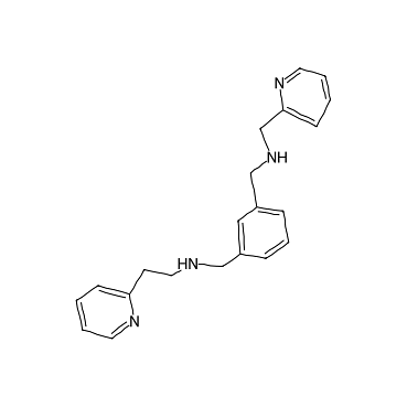 c1ccc(CCNCc2cccc(CNCc3ccccn3)c2)nc1